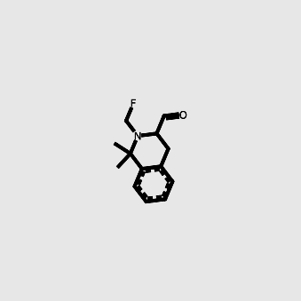 CC1(C)c2ccccc2CC(C=O)N1CF